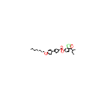 CCCCCCCCOc1ccc(-c2ccc(C(=O)Oc3ccc(C(=O)C(C)CC)c(Cl)c3)cc2)cc1